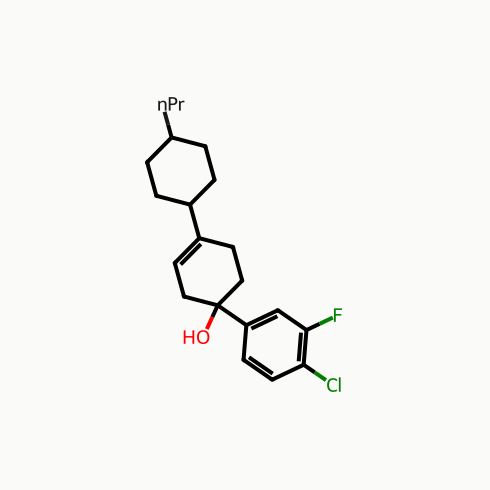 CCCC1CCC(C2=CCC(O)(c3ccc(Cl)c(F)c3)CC2)CC1